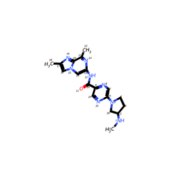 CNC1CCN(c2cnc(C(=O)Nc3cn4cc(C)nc4c(C)n3)cn2)C1